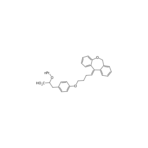 CCCOC(Cc1ccc(OCCCC=C2c3ccccc3COc3ccccc32)cc1)C(=O)O